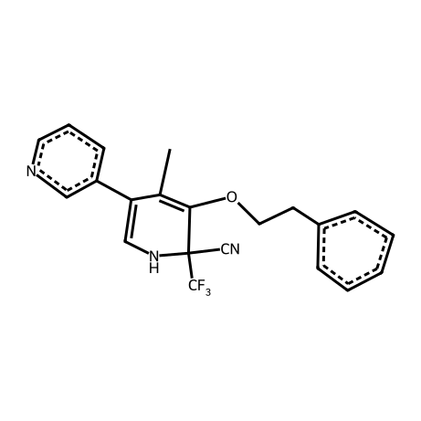 CC1=C(OCCc2ccccc2)C(C#N)(C(F)(F)F)NC=C1c1cccnc1